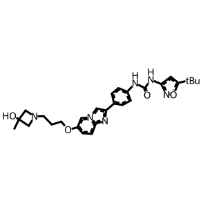 CC1(O)CN(CCCOc2ccc3nc(-c4ccc(NC(=O)Nc5cc(C(C)(C)C)on5)cc4)cn3c2)C1